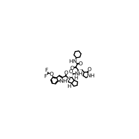 O=C(NC1CCCCC1)C(=O)[C@H](CC1CCNC1=O)NC(=O)[C@@H]1[C@H]2CCC[C@H]2CN1C(=O)c1cc2c(OC(F)F)cccc2[nH]1